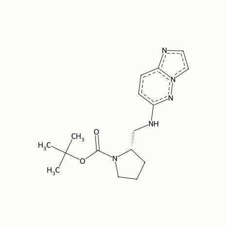 CC(C)(C)OC(=O)N1CCC[C@H]1CNc1ccc2nccn2n1